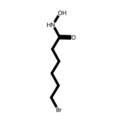 O=C(CCCCCBr)NO